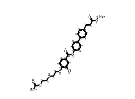 CCCCCCOC(=O)/C=C/c1ccc(-c2ccc(OC(=O)c3ccc(OCCOCCOC(=O)C(C)CC)c(Cl)c3)cc2)cc1